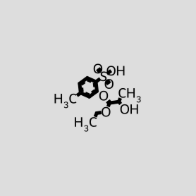 CCOC(=O)C(C)O.Cc1ccc(S(=O)(=O)O)cc1